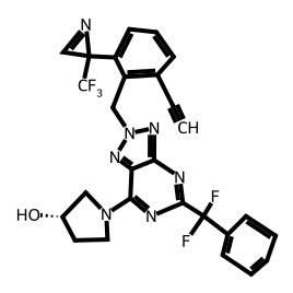 C#Cc1cccc(C2(C(F)(F)F)C=N2)c1Cn1nc2nc(C(F)(F)c3ccccc3)nc(N3CC[C@H](O)C3)c2n1